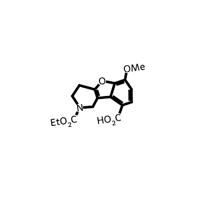 CCOC(=O)N1CCc2oc3c(OC)ccc(C(=O)O)c3c2C1